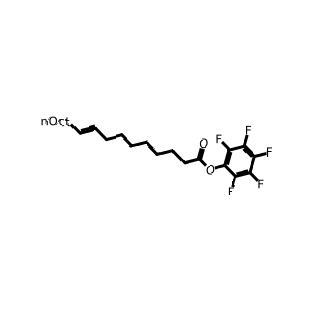 CCCCCCCCC=CCCCCCCCC(=O)Oc1c(F)c(F)c(F)c(F)c1F